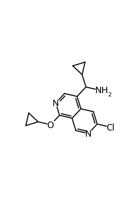 NC(c1cnc(OC2CC2)c2cnc(Cl)cc12)C1CC1